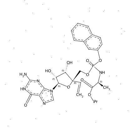 C=C[C@]1(COP(=O)(N[C@@H](C)C(=O)OC(C)C)Oc2ccc3ccccc3c2)O[C@@H](n2cnc3c(=O)[nH]c(N)nc32)[C@H](O)[C@@H]1O